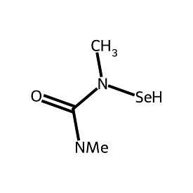 CNC(=O)N(C)[SeH]